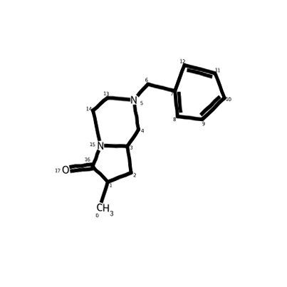 CC1CC2CN(Cc3ccccc3)CCN2C1=O